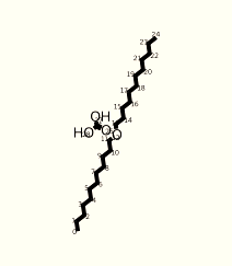 CCCCCCCCCCCCOCCCCCCCCCCCC.O=C(O)O